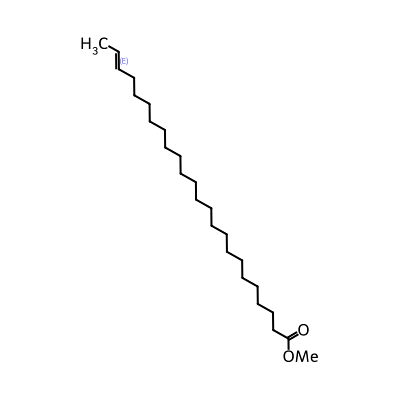 C/C=C/CCCCCCCCCCCCCCCCCCCCC(=O)OC